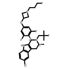 C[C@H]1Cc2c([nH]c3ccc(Cl)cc23)[C@@H](c2c(F)cc(OC3CN(CCCF)C3)cc2F)N1CC(C)(C)F